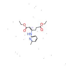 CCOC(=O)/C=C(/CCC(=O)OCC)Nc1cccc(C)n1